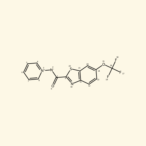 O=C([N-][n+]1ccccc1)c1nc2ccc(OC(F)(F)F)cc2s1